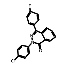 O=c1c2ccccc2c(-c2ccc(F)cc2)nn1-c1ccc(Cl)cc1